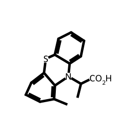 Cc1cccc2c1N(C(C)C(=O)O)c1ccccc1S2